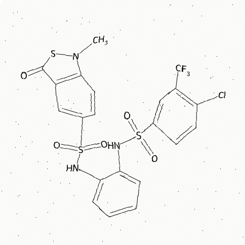 Cn1sc(=O)c2cc(S(=O)(=O)Nc3ccccc3NS(=O)(=O)c3ccc(Cl)c(C(F)(F)F)c3)ccc21